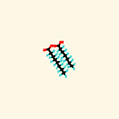 O=C(O)C(F)(F)C(F)(F)C(F)(F)C(F)(F)C(F)(F)C(F)(F)C(F)(F)F.O=C(O)C(F)(F)C(F)(F)C(F)(F)C(F)(F)C(F)(F)C(F)(F)F